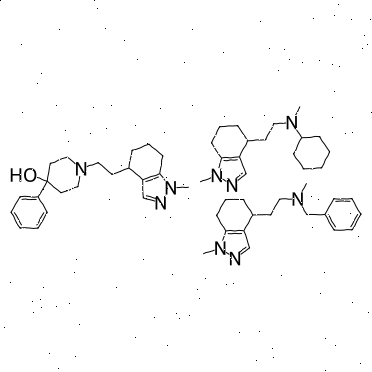 CN(CCC1CCCc2c1cnn2C)C1CCCCC1.CN(CCC1CCCc2c1cnn2C)Cc1ccccc1.Cn1ncc2c1CCCC2CCN1CCC(O)(c2ccccc2)CC1